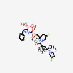 CC(C)(C=C(C#N)C(=O)N1C[C@@H](F)C[C@]1(C)COC(=O)NC(Cc1ccccc1)B(O)O)N1CC[C@@H](F)C1